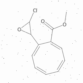 COC(=O)C1=C/C=C\C=C/C=C\1C1OC1Cl